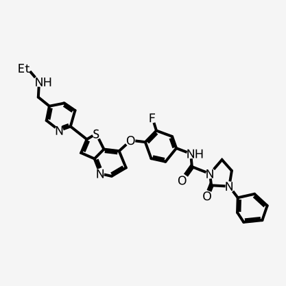 CCNCc1ccc(-c2cc3nccc(Oc4ccc(NC(=O)N5CCN(c6ccccc6)C5=O)cc4F)c3s2)nc1